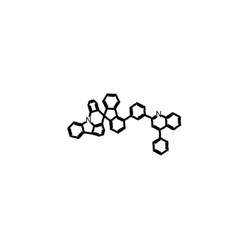 c1ccc(-c2cc(-c3cccc(-c4cccc5c4-c4ccccc4C54c5ccccc5-n5c6ccccc6c6cccc4c65)c3)nc3ccccc23)cc1